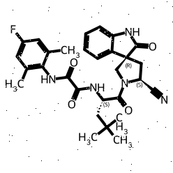 Cc1cc(F)cc(C)c1NC(=O)C(=O)N[C@@H](CC(C)(C)C)C(=O)N1C[C@]2(C[C@H]1C#N)C(=O)Nc1ccccc12